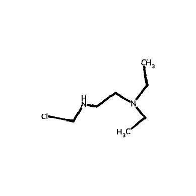 CCN(CC)CCNCCl